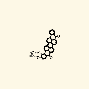 CCCCCCCCOc1ccc2c(c1OCCCCCCCC)-c1ccc3c4ccc5c6c(ccc(c7ccc(c1c73)C2=O)c64)C(=O)c1ccccc1-5